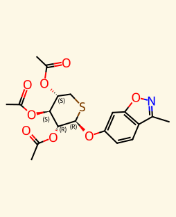 CC(=O)O[C@@H]1[C@@H](OC(C)=O)[C@H](OC(C)=O)CS[C@H]1Oc1ccc2c(C)noc2c1